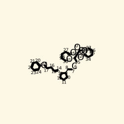 O=C(O)C(CC=C=CC[C@H]1CCC[C@@H]1/C=C/CCOc1ccccc1)(OC1CCCCO1)OC1CCCCO1